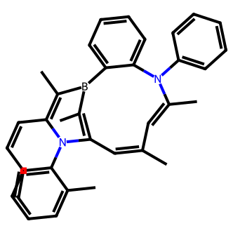 C=C/C=C\C1=C(C)B2C(C)=C(/C=C(C)\C=C(/C)N(c3ccccc3)c3ccccc32)N1c1ccccc1C